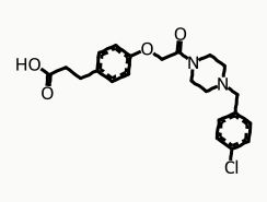 O=C(O)CCc1ccc(OCC(=O)N2CCN(Cc3ccc(Cl)cc3)CC2)cc1